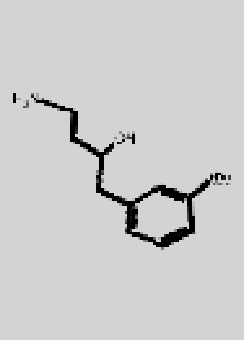 CC(C)(C)c1cccc(CC(O)CCN)c1